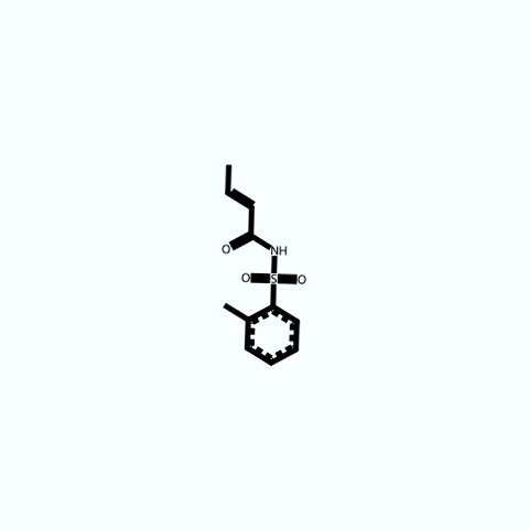 CC=CC(=O)NS(=O)(=O)c1ccccc1C